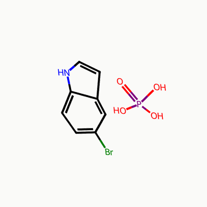 Brc1ccc2[nH]ccc2c1.O=P(O)(O)O